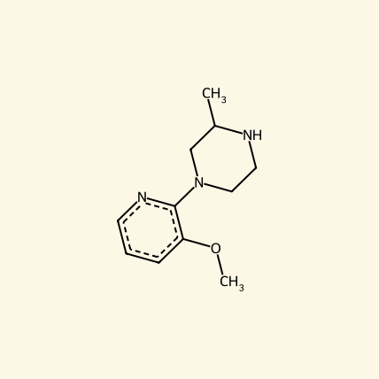 COc1cccnc1N1CCNC(C)C1